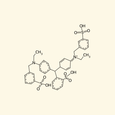 CCN(Cc1cccc(S(=O)(=O)O)c1)c1ccc(C(c2ccccc2S(=O)(=O)O)C2C=CC(=[N+](CC)Cc3cccc(S(=O)(=O)O)c3)C=C2)cc1